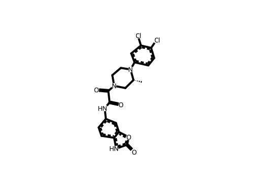 C[C@@H]1CN(C(=O)C(=O)Nc2ccc3[nH]c(=O)oc3c2)CCN1c1ccc(Cl)c(Cl)c1